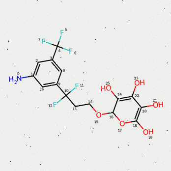 Nc1cc(C(F)(F)F)cc(C(F)(F)CCOC2OC(O)=C(O)C(O)=C2O)c1